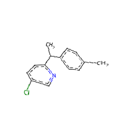 Cc1ccc(C(C)c2ccc(Cl)cn2)cc1